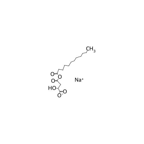 CCCCCCCCCCCC(=O)OC(=O)CC(O)C(=O)[O-].[Na+]